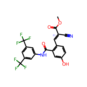 COC(=O)/C(C#N)=C/c1ccc(O)cc1C(=O)Nc1cc(C(F)(F)F)cc(C(F)(F)F)c1